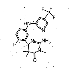 CN1C(=O)C(C)(C)[C@@](C)(c2cc(Nc3cncc(C(F)(F)F)c3)ccc2F)N=C1N